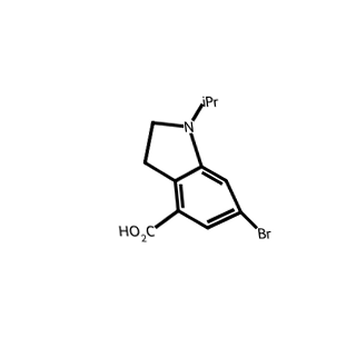 CC(C)N1CCc2c(C(=O)O)cc(Br)cc21